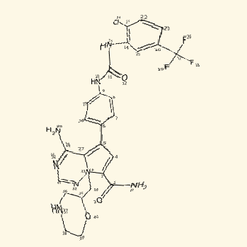 NC(=O)C1=CC(c2ccc(NC(=O)Nc3cc(C(F)(F)F)ccc3Cl)cc2)=C2C(N)=NC=N[N+]12CC1CNCCO1